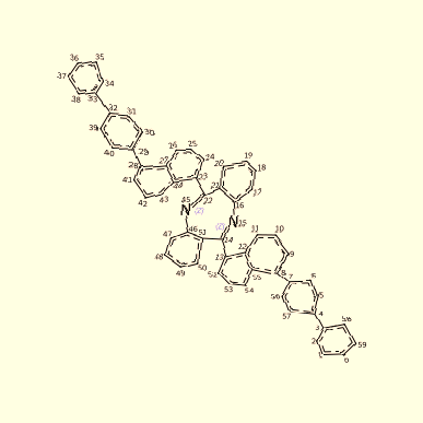 c1ccc(-c2ccc(-c3cccc4c(/C5=N/c6ccccc6/C(c6cccc7c(-c8ccc(-c9ccccc9)cc8)cccc67)=N\c6ccccc65)cccc34)cc2)cc1